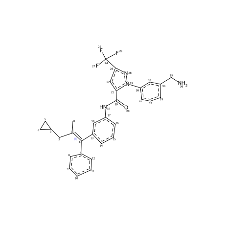 C/C(CC1CC1)=C(/c1ccccc1)c1cccc(NC(=O)c2cc(C(F)(F)F)nn2-c2cccc(CN)c2)c1